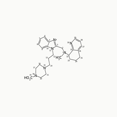 CN(Cc1nc2ccccc2n1CCCN1CCN(C(=O)O)CC1)C1CCCc2cccnc21